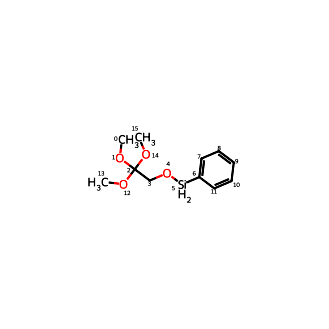 COC(CO[SiH2]c1ccccc1)(OC)OC